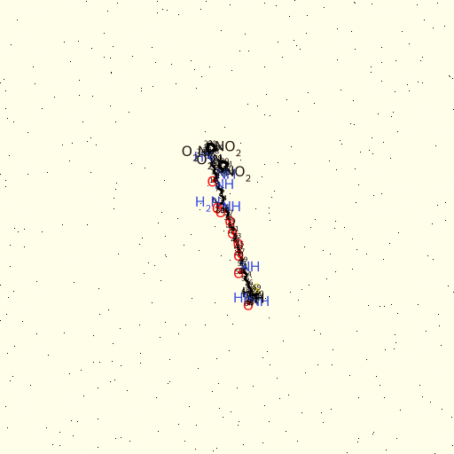 NC(=O)C(CCCCNC(=O)C(CCCCNc1cc([N+](=O)[O-])ccc1[N+](=O)[O-])Nc1cc([N+](=O)[O-])ccc1[N+](=O)[O-])NC(=O)CCOCCOCCOCCOCCNC(=O)CCCCC1SC[C@H]2NC(=O)N[C@@H]12